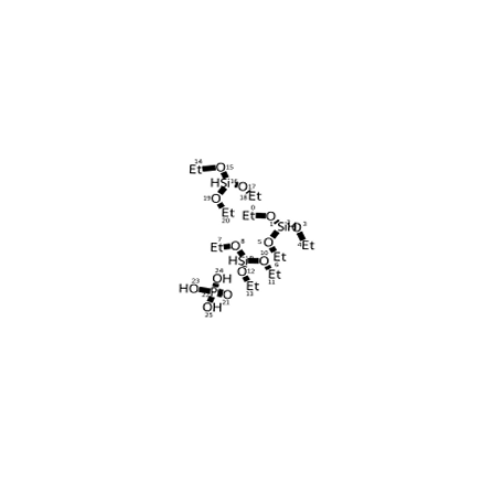 CCO[SiH](OCC)OCC.CCO[SiH](OCC)OCC.CCO[SiH](OCC)OCC.O=P(O)(O)O